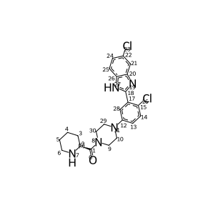 O=C([C@@H]1CCCCN1)N1CCN(c2ccc(Cl)c(-c3nc4cc(Cl)ccc4[nH]3)c2)CC1